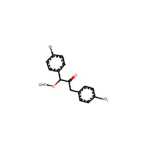 O=[C]OC(C(=O)Cc1ccc([N+](=O)[O-])cc1)c1ccc(Br)cc1